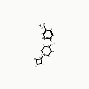 Nc1ccc(OC2CCN(C3CCC3)CC2)nc1